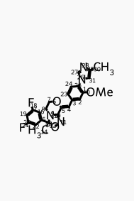 COc1cc(C=C2OCCN3C2=NO[C@@]3(C)c2cc(F)cc(F)c2)ccc1-n1cnc(C)c1